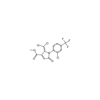 COC(=O)C1=CC(=O)N(c2ccc(C(F)(F)F)cc2Cl)C1=C(Cl)Cl